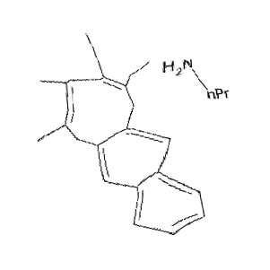 CCCN.Cc1c(C)c(C)c2cc3ccccc3cc2c1C